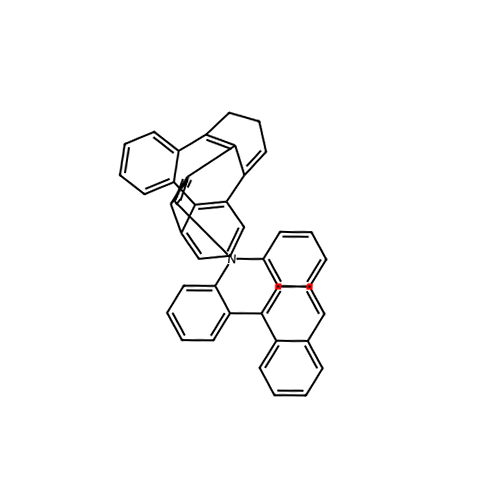 C1=C2C3=C(CC1)c1ccccc1-c1c2cccc1-c1cc(N(c2ccccc2)c2ccccc2-c2cccc4ccccc24)ccc13